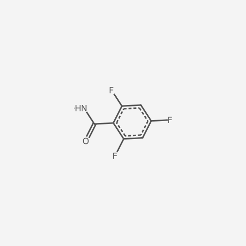 [NH]C(=O)c1c(F)cc(F)cc1F